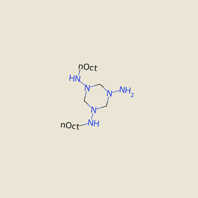 CCCCCCCCNN1CN(N)CN(NCCCCCCCC)C1